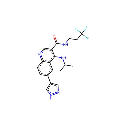 CC(C)Nc1c(C(=O)NCCC(F)(F)F)cnc2ccc(-c3cn[nH]c3)cc12